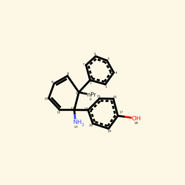 CCCC1(c2ccccc2)C=CC=CC1(N)c1ccc(O)cc1